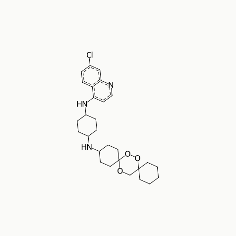 Clc1ccc2c(NC3CCC(NC4CCC5(CC4)OCC4(CCCCC4)OO5)CC3)ccnc2c1